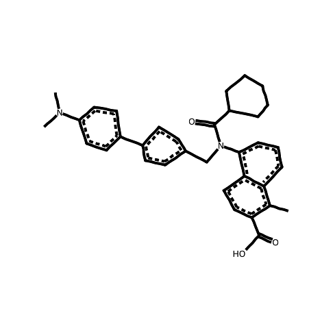 Cc1c(C(=O)O)ccc2c(N(Cc3ccc(-c4ccc(N(C)C)cc4)cc3)C(=O)C3CCCCC3)cccc12